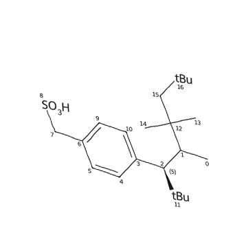 CC([C@H](c1ccc(CS(=O)(=O)O)cc1)C(C)(C)C)C(C)(C)CC(C)(C)C